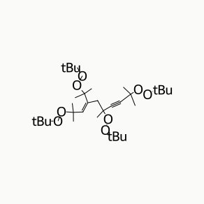 CC(C)(C)OOC(C)(C)C#CC(C)(CC(=CC(C)(C)OOC(C)(C)C)C(C)(C)OOC(C)(C)C)OOC(C)(C)C